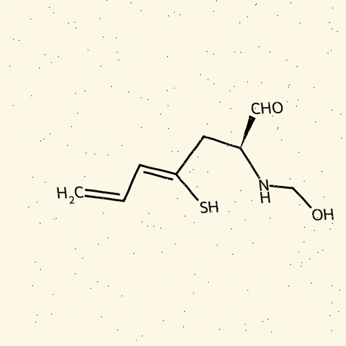 C=C/C=C(\S)C[C@@H](C=O)NCO